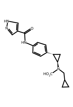 O=C(Nc1ccc([C@@H]2C[C@H]2N(CC2CC2)C(=O)O)cc1)c1cn[nH]c1